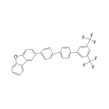 FC(F)(F)c1cc(-c2ccc(-c3ccc(-c4ccc5oc6ccccc6c5c4)cc3)cc2)cc(C(F)(F)F)c1